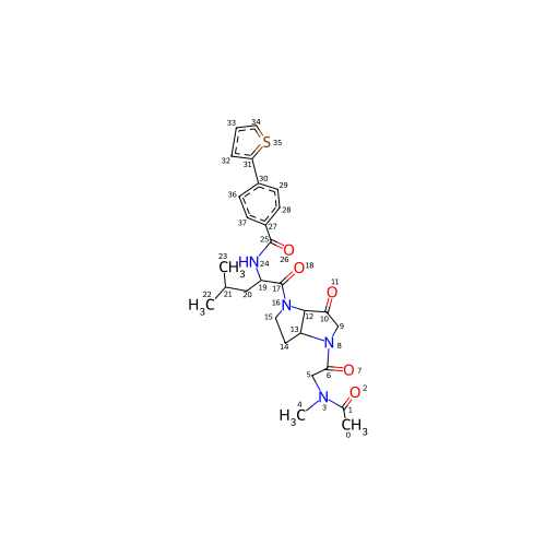 CC(=O)N(C)CC(=O)N1CC(=O)C2C1CCN2C(=O)C(CC(C)C)NC(=O)c1ccc(-c2cccs2)cc1